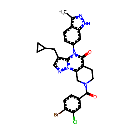 Cc1n[nH]c2cc(-n3c(=O)c4c(n5ncc(CC6CC6)c35)CN(C(=O)c3ccc(Br)c(Cl)c3)CC4)ccc12